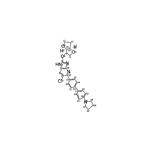 Clc1cc2[nH]c(OC3CO[C@@H]4CCO[C@H]34)nc2nc1-c1ccc(-c2ccc(N3CCCC3)cc2)cc1